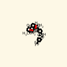 C=C1C(=O)[C@]23[C@H](OC(=O)C4CCC(NS(=O)(=O)c5ccc(C(F)(F)F)cc5)CC4)[C@H]1CC[C@H]2[C@@]12CO[C@]3(O)[C@@H](O)[C@@H]1C(C)(C)CCC2=O